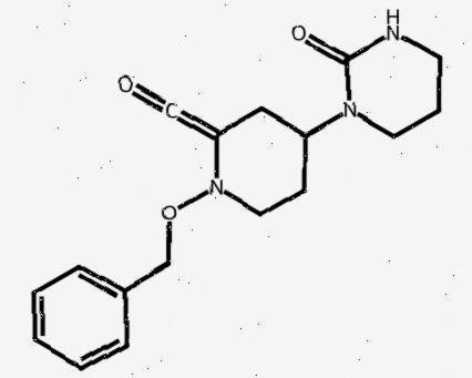 O=C=C1CC(N2CCCNC2=O)CCN1OCc1ccccc1